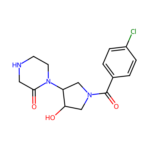 O=C(c1ccc(Cl)cc1)N1CC(O)C(N2CCNCC2=O)C1